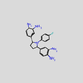 Nc1ccc(C2CCC(C3=CC(N)C(N)C=C3)N2c2ccc(F)cc2)cc1N